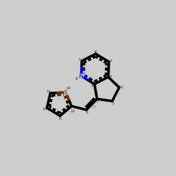 C(=C1\CCc2cccnc21)/c1cccs1